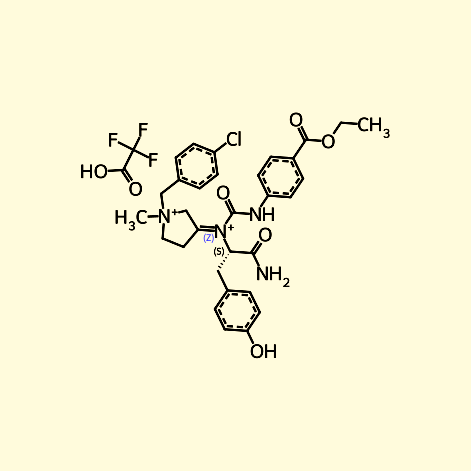 CCOC(=O)c1ccc(NC(=O)/[N+](=C2/CC[N+](C)(Cc3ccc(Cl)cc3)C2)[C@@H](Cc2ccc(O)cc2)C(N)=O)cc1.O=C(O)C(F)(F)F